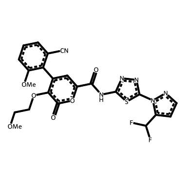 COCCOc1c(-c2c(C#N)cccc2OC)cc(C(=O)Nc2nnc(-n3nccc3C(F)F)s2)oc1=O